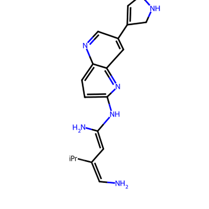 CC(C)C(=C/N)/C=C(\N)Nc1ccc2ncc(C3=CCNC3)cc2n1